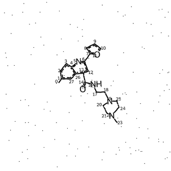 Cc1ccc2nc(-c3ccco3)cc(C(=O)NCCN3CCN(C)CC3)c2c1